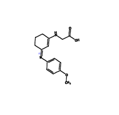 COc1ccc(/N=C2\C=C(NCC(=O)O)CCC2)cc1